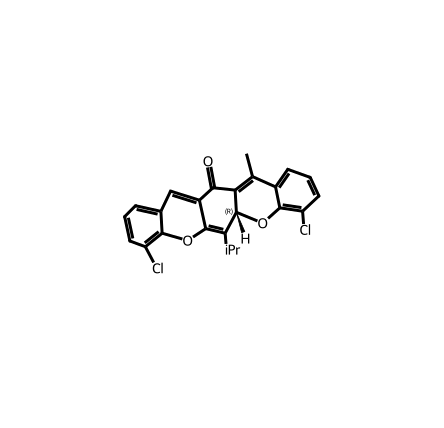 CC1=C2C(=O)C3=Cc4cccc(Cl)c4OC3=C(C(C)C)[C@H]2Oc2c(Cl)cccc21